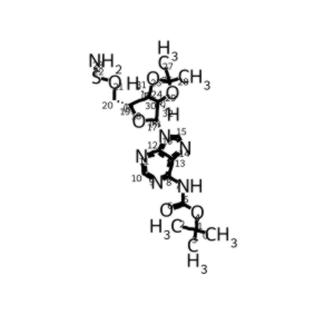 CC(C)(C)OC(=O)Nc1ncnc2c1ncn2[C@@H]1O[C@H](COSN)[C@H]2OC(C)(C)O[C@H]21